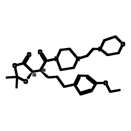 CCOc1ccc(CCC[C@@H](C(=O)N2CCN(CCN3CCOCC3)CC2)[C@@H]2OC(C)(C)OC2=O)cc1